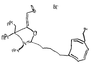 CCC[N+]1=C(CCCc2cccc(Br)c2)OC(=CBr)C1(CCC)CCC.[Br-]